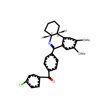 COc1cc2c(cc1OC)[C@H]1CCCC[C@H]1N=C2c1ccc(C(=O)c2ccc(Cl)cc2)cc1